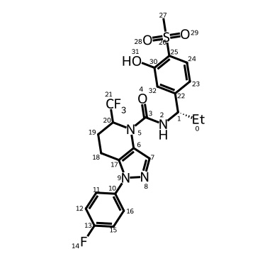 CC[C@H](NC(=O)N1c2cnn(-c3ccc(F)cc3)c2CCC1C(F)(F)F)c1ccc(S(C)(=O)=O)c(O)c1